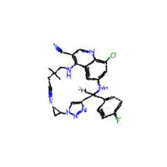 [2H]C(Nc1cc(Cl)c2ncc(C#N)c(NCC(C)(C)CC#N)c2c1)(c1ccc(F)cc1)c1cn(C2CC2)nn1